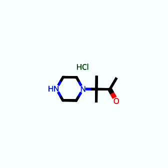 CC(=O)C(C)(C)N1CCNCC1.Cl